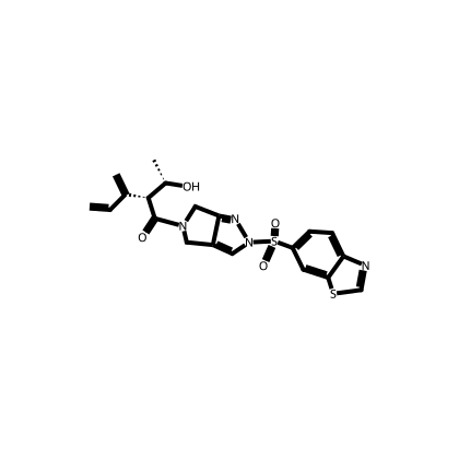 C=CC(=C)[C@@H](C(=O)N1Cc2cn(S(=O)(=O)c3ccc4ncsc4c3)nc2C1)[C@H](C)O